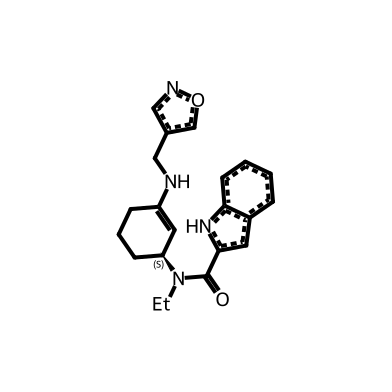 CCN(C(=O)c1cc2ccccc2[nH]1)[C@@H]1C=C(NCc2cnoc2)CCC1